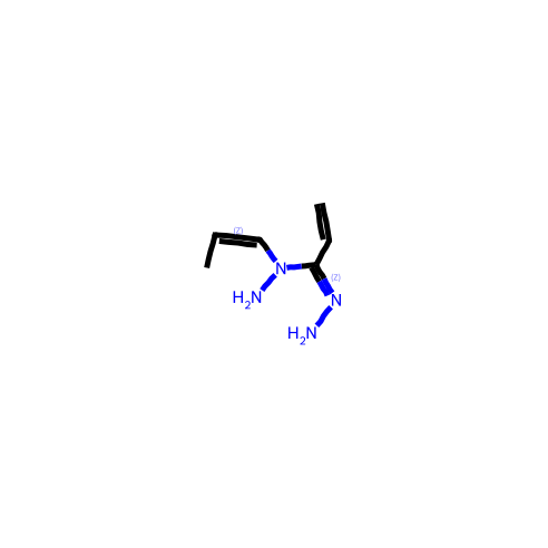 C=C/C(=N/N)N(N)/C=C\C